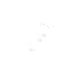 O=C(CCNC(=O)NCCN1C(=O)CSC1=O)NCC1CCC1